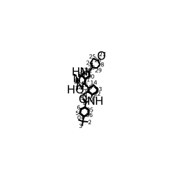 CC(C)(C)c1ccc(C(=O)Nc2cccc(-c3ncnc4[nH]c(C5=CCC(=O)CC5)cc34)c2CO)cc1